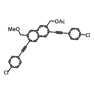 COCc1cc2cc(COC(C)=O)c(C#Cc3ccc(Cl)cc3)cc2cc1C#Cc1ccc(Cl)cc1